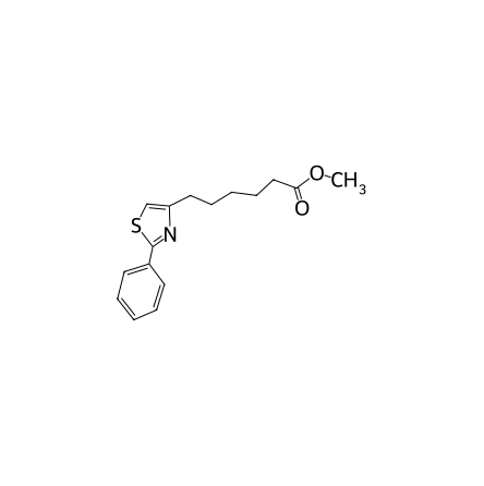 COC(=O)CCCCCc1csc(-c2ccccc2)n1